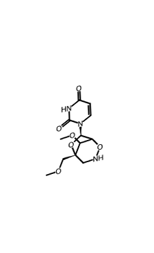 COC[C@]12CNOC(C1OC)[C@H](n1ccc(=O)[nH]c1=O)O2